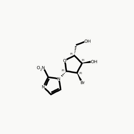 O=[N+]([O-])c1nccn1[C@@H]1O[C@H](CO)[C@@H](O)[C@H]1Br